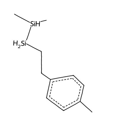 Cc1ccc(CC[SiH2][SiH](C)C)cc1